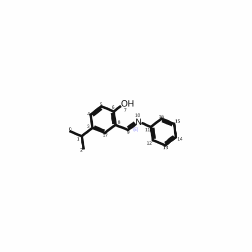 CC(C)c1ccc(O)c(/C=N/c2ccccc2)c1